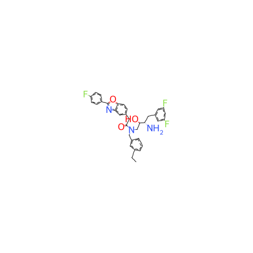 CCc1cccc(CN(C[C@@H](O)[C@@H](N)Cc2cc(F)cc(F)c2)C(=O)Cc2ccc3oc(-c4ccc(F)cc4)nc3c2)c1